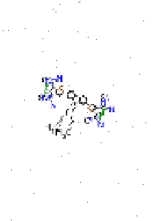 [C-]#[N+]/C(C#N)=C1\c2sc(-c3ccc4c(c3)C(CCCCCCCC)(CCCCCCCC)c3cc(-c5cc6c(s5)/C(=C(\C#N)[N+]#[C-])C(F)(F)/C6=C(/C#N)[N+]#[C-])ccc3-4)cc2/C(=C(/C#N)[N+]#[C-])C1(F)F